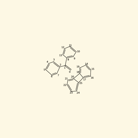 C=C(c1ccccc1)c1ccccc1.c1ccc2c(c1)-c1ccccc1-2